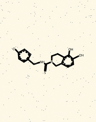 Oc1ccc2c(c1O)CCN(C(=S)NCc1ccc(Cl)cc1)C2